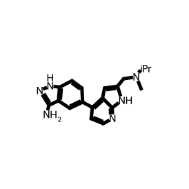 CC(C)N(C)Cc1cc2c(-c3ccc4[nH]nc(N)c4c3)ccnc2[nH]1